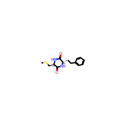 CSC[C@H]1NC(=O)[C@H](CCc2ccccc2)NC1=O